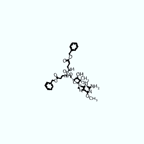 COc1nc(N)nc2c1ncn2[C@@H]1O[C@H](COP(=O)(NCCC(=O)OCc2ccccc2)NCCC(=O)OCc2ccccc2)[C@@H](O)[C@@]1(C)O